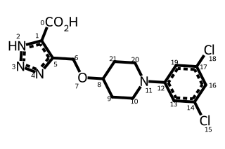 O=C(O)c1[nH]nnc1COC1CCN(c2cc(Cl)cc(Cl)c2)CC1